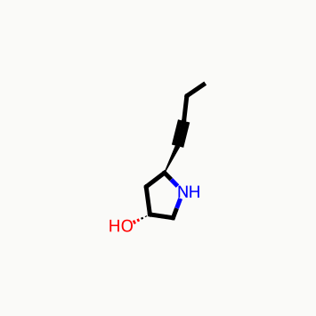 CCC#C[C@@H]1C[C@@H](O)CN1